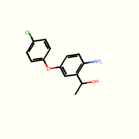 [CH2]C(O)c1cc(Oc2ccc(Cl)cc2)ccc1N